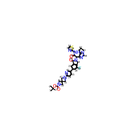 CC(C)(C)OC(=O)N1CC2(C1)CN(c1ccc(-c3cc(F)c4c(c3)C(=O)N(C(C(=O)Nc3nccs3)c3ncn5c3CCC5)C4)cn1)C2